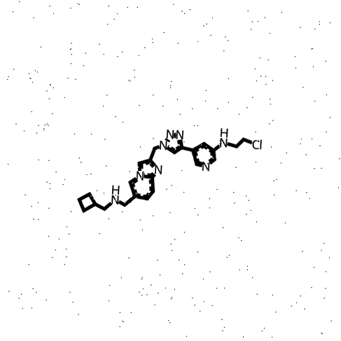 ClCCNc1cncc(-c2cn(Cc3cn4cc(CNCC5CCC5)ccc4n3)nn2)c1